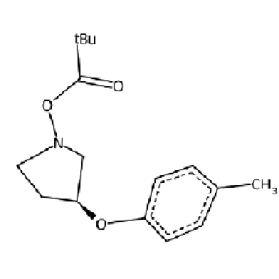 Cc1ccc(O[C@H]2CCN(OC(=O)C(C)(C)C)C2)cc1